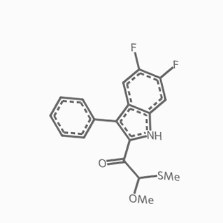 COC(SC)C(=O)c1[nH]c2cc(F)c(F)cc2c1-c1ccccc1